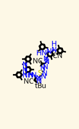 Cc1cc(C)c(Nc2nc(Nc3c(C)cc(C)cc3C)c(N=Nc3nn(-c4nnc(-n5nc(C(C)(C)C)c(C#N)c5N=Nc5c(C)cc(N(C)c6c(C)cc(C)cc6C)nc5Nc5c(C)cc(C)cc5C)s4)cc3C#N)c(C)c2C#N)c(C)c1